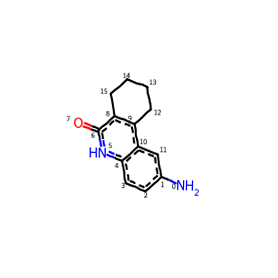 Nc1ccc2[nH]c(=O)c3c(c2c1)CCCC3